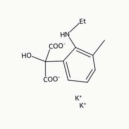 CCNc1c(C)cccc1C(O)(C(=O)[O-])C(=O)[O-].[K+].[K+]